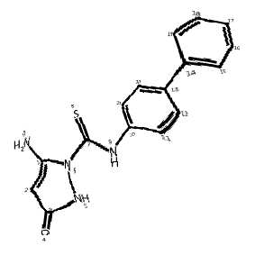 Nc1cc(=O)[nH]n1C(=S)Nc1ccc(-c2ccccc2)cc1